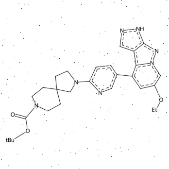 CCOc1cc(-c2ccc(N3CCC4(CCN(C(=O)OC(C)(C)C)CC4)C3)nc2)c2c3cn[nH]c3nn2c1